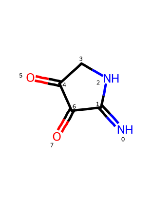 N=C1NCC(=O)C1=O